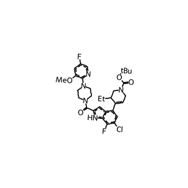 CCC1CN(C(=O)OC(C)(C)C)CC=C1c1cc(Cl)c(F)c2[nH]c(C(=O)N3CCN(c4ncc(F)cc4OC)CC3)cc12